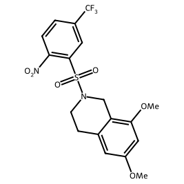 COc1cc2c(c(OC)c1)CN(S(=O)(=O)c1cc(C(F)(F)F)ccc1[N+](=O)[O-])CC2